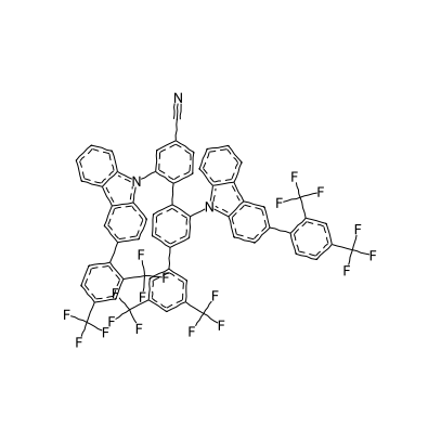 N#Cc1ccc(-c2ccc(-c3cc(C(F)(F)F)cc(C(F)(F)F)c3)cc2-n2c3ccccc3c3cc(-c4ccc(C(F)(F)F)cc4C(F)(F)F)ccc32)c(-n2c3ccccc3c3cc(-c4ccc(C(F)(F)F)cc4C(F)(F)F)ccc32)c1